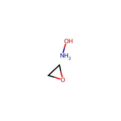 C1CO1.NO